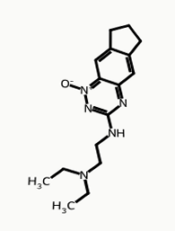 CCN(CC)CCNc1nc2cc3c(cc2[n+]([O-])n1)CCC3